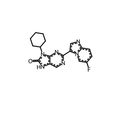 O=c1[nH]c2cnc(-c3cnc4ccc(F)cn34)nc2n1C1CCCCC1